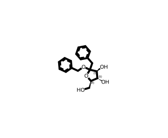 OC[C@H]1OC(Cc2ccccc2)(OCc2ccccc2)[C@@H](O)[C@@H]1O